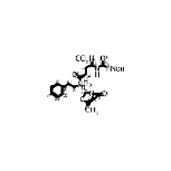 CC1=C2C(=O)N2CO1.CCCCCCCCCC(=O)NC(CCC(=O)N(C)CCc1ccccc1)C(=O)O